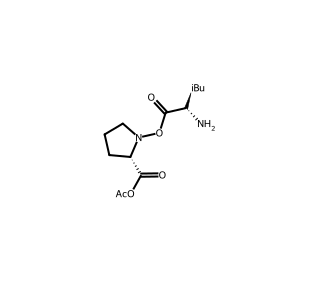 CC[C@H](C)[C@H](N)C(=O)ON1CCC[C@H]1C(=O)OC(C)=O